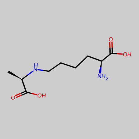 C[C@@H](NCCCC[C@H](N)C(=O)O)C(=O)O